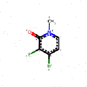 Cn1ccc(Br)c(F)c1=O